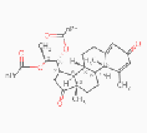 CCCC(=O)O[C@H]([C@@H]1CC(=O)[C@@]2(C)CC[C@H]3[C@@H](CCC4=CC(=O)C=C(C)[C@@]43C)[C@H]12)[C@H](C)OC(=O)CCC